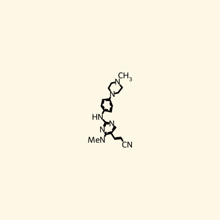 CNc1nc(Nc2ccc(N3CCN(C)CC3)cc2)ncc1C=CC#N